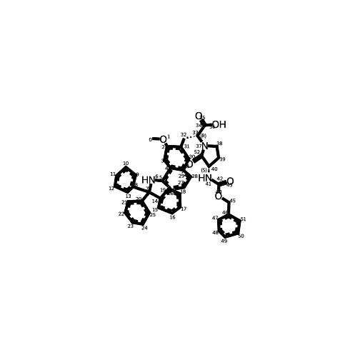 COc1cc2c(NC(c3ccccc3)(c3ccccc3)c3ccccc3)nccc2cc1C[C@H](C(=O)O)N1CC[C@H](NC(=O)OCc2ccccc2)C1=O